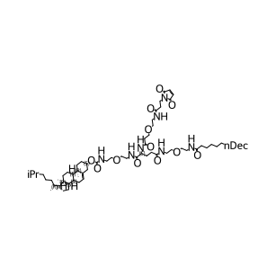 CCCCCCCCCCCCCCCC(=O)NCCOCCNC(=O)CC[C@H](NC(=O)CCOCCNC(=O)CCN1C(=O)C=CC1=O)C(=O)NCCOCCNC(=O)O[C@H]1CC[C@@]2(C)C(=CC[C@H]3[C@@H]4CC[C@H]([C@H](C)CCCC(C)C)[C@@]4(C)CC[C@@H]32)C1